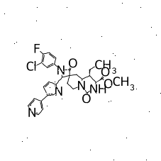 CC[C@@H]1C2CC3(CCN2C(=O)N[C@@H]1C(=O)OC)C(=O)N(c1ccc(F)c(Cl)c1)C3c1ccc(-c2ccncc2)cn1